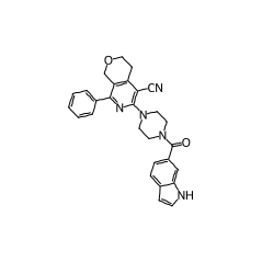 N#Cc1c(N2CCN(C(=O)c3ccc4cc[nH]c4c3)CC2)nc(-c2ccccc2)c2c1CCOC2